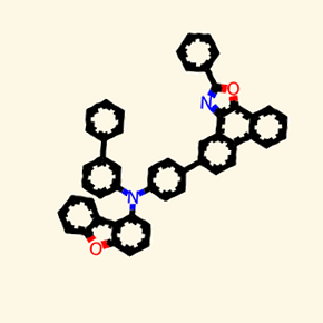 c1ccc(-c2cccc(N(c3ccc(-c4ccc5c6ccccc6c6oc(-c7ccccc7)nc6c5c4)cc3)c3cccc4oc5ccccc5c34)c2)cc1